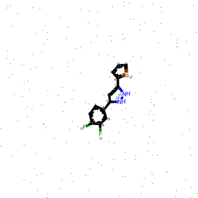 Fc1ccc(C2C=C(c3cccs3)NN2)cc1F